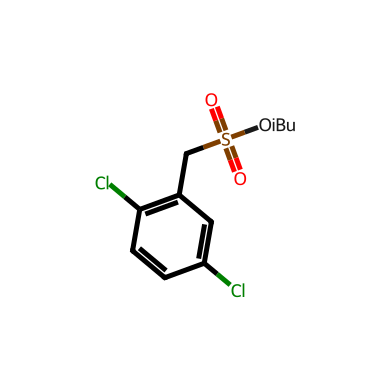 CC(C)COS(=O)(=O)Cc1cc(Cl)ccc1Cl